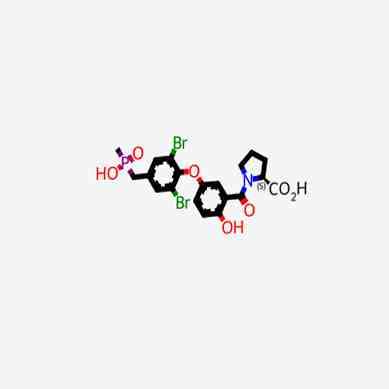 CP(=O)(O)Cc1cc(Br)c(Oc2ccc(O)c(C(=O)N3CCC[C@H]3C(=O)O)c2)c(Br)c1